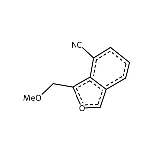 COCc1occ2cccc(C#N)c12